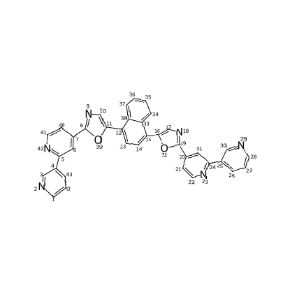 c1cncc(-c2cc(-c3ncc(-c4ccc(-c5cnc(-c6ccnc(-c7cccnc7)c6)o5)c5ccccc45)o3)ccn2)c1